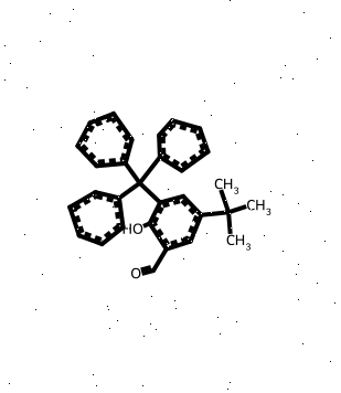 CC(C)(C)c1cc(C=O)c(O)c(C(c2ccccc2)(c2ccccc2)c2ccccc2)c1